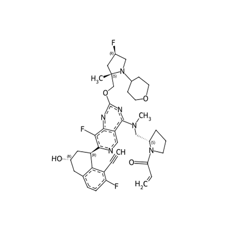 C#Cc1c(F)ccc2c1[C@H](c1ncc3c(N(C)C[C@@H]4CCCN4C(=O)C=C)nc(OC[C@]4(C)C[C@@H](F)CN4C4CCOCC4)nc3c1F)C[C@@H](O)C2